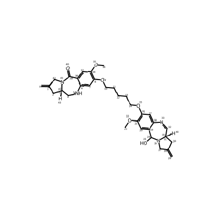 C=C1C[C@H]2CNc3cc(OCCCCCOc4cc5c(cc4OC)C(O)N4CC(=C)C[C@H]4C=N5)c(OC)cc3C(=O)N2C1